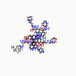 CCN(CC)CCCNS(=O)(=O)c1cccc(Nc2cccc(C(=O)Nc3ccncc3)c2-c2cc(C(=O)NCCCN3CCOCC3)cc(Nc3cccc(C(=O)Nc4ccncc4)c3)c2-c2c(Nc3cccc(C(=O)NCCCN4CCCC4)c3)cccc2C(=O)Nc2ccncc2)c1